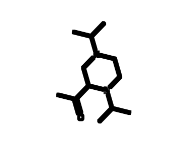 CC(=O)C1CN(C(C)C)CCN1C(C)C